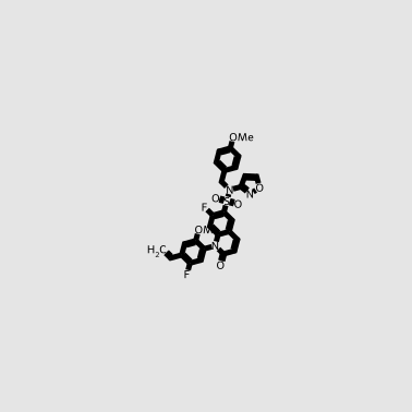 C=Cc1cc(OC)c(-n2c(=O)ccc3cc(S(=O)(=O)N(Cc4ccc(OC)cc4)c4ccon4)c(F)cc32)cc1F